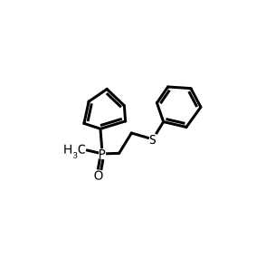 CP(=O)(CCSc1ccccc1)c1ccccc1